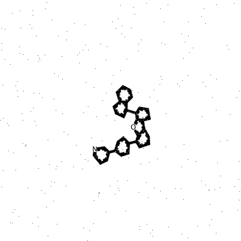 c1cncc(-c2ccc(-c3cccc4c3oc3c(-c5cccc6ccccc56)cccc34)cc2)c1